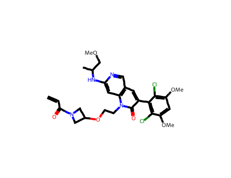 C=CC(=O)N1CC(OCCn2c(=O)c(-c3c(Cl)c(OC)cc(OC)c3Cl)cc3cnc(NC(C)COC)cc32)C1